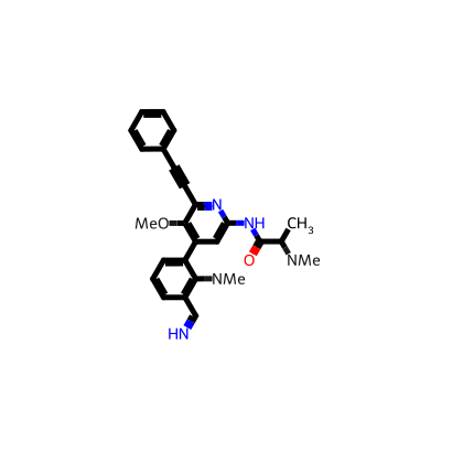 CNc1c(C=N)cccc1-c1cc(NC(=O)C(C)NC)nc(C#Cc2ccccc2)c1OC